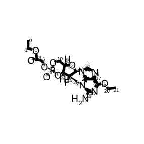 CCOC(=O)CO[P@@]1(=O)OC[C@H]2O[C@@H](n3cnc4c(OCC)nc(N)nc43)[C@](C)(F)[C@@H]2O1